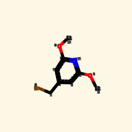 CCOc1cc(CBr)cc(OCC)n1